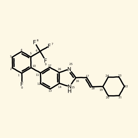 Fc1cccc(C(F)(F)F)c1-c1ccc2[nH]c(/C=C/C3CCCCC3)nc2c1